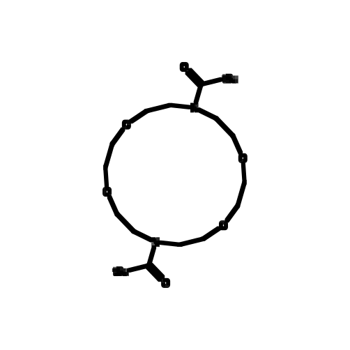 CC(C)(C)C(=O)N1CCOCCOCCN(C(=O)C(C)(C)C)CCOCCOCC1